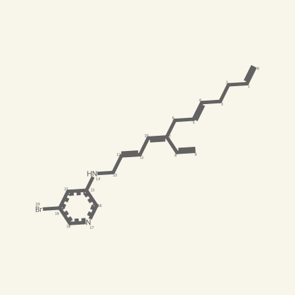 C=CCC/C=C/C/C(C=C)=C/C=C/CNc1cncc(Br)c1